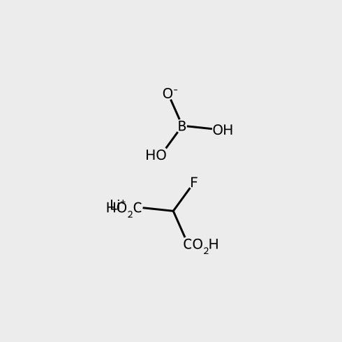 O=C(O)C(F)C(=O)O.[Li+].[O-]B(O)O